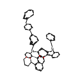 c1ccc(-c2ccc(-c3ccc(N(c4ccc5c6ccccc6n(-c6ccccc6)c5c4)c4ccccc4-c4cccc5cccc(C6CCCCC6)c45)cc3)cc2)cc1